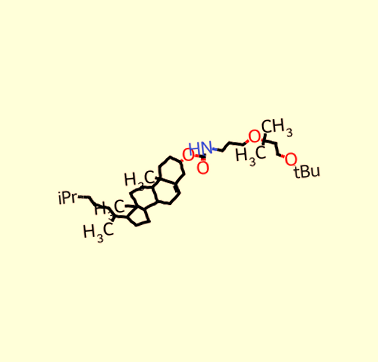 CC(C)CCCC(C)C1CCC2C3CC=C4CC(OC(=O)NCCCOC(C)(C)CCOC(C)(C)C)CCC4(C)C3CCC12C